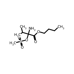 CCCCOC(=O)C(N)(OS(C)(=O)=O)C(C)C